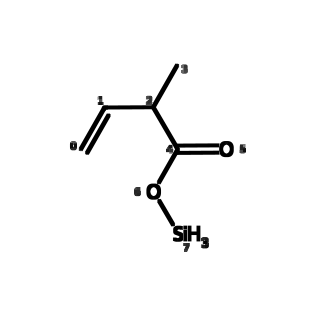 C=CC(C)C(=O)O[SiH3]